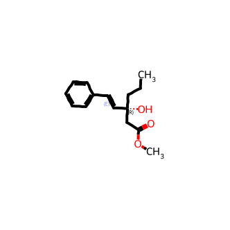 CCC[C@](O)(/C=C/c1ccccc1)CC(=O)OC